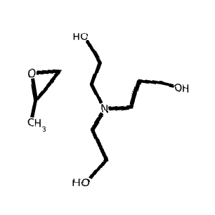 CC1CO1.OCCN(CCO)CCO